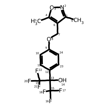 Cc1noc(C)c1COc1ccc(C(O)(C(F)(F)F)C(F)(F)F)cc1